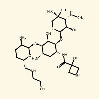 CN[C@@H]1[C@@H](O)[C@@H](O[C@@H]2[C@H](O)[C@H](O[C@H]3O[C@H](CNCCO)CC[C@H]3N)[C@@H](N)C[C@H]2NC(=O)C2(O)CNC2)OC[C@]1(C)O